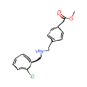 COC(=O)c1ccc(CNCc2ccccc2Cl)cc1